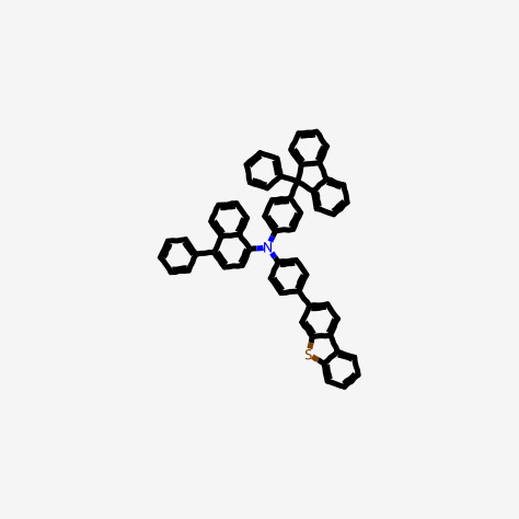 c1ccc(-c2ccc(N(c3ccc(-c4ccc5c(c4)sc4ccccc45)cc3)c3ccc(C4(c5ccccc5)c5ccccc5-c5ccccc54)cc3)c3ccccc23)cc1